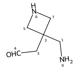 NCC1(CC=O)CNC1